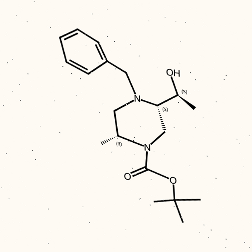 C[C@H](O)[C@@H]1CN(C(=O)OC(C)(C)C)[C@H](C)CN1Cc1ccccc1